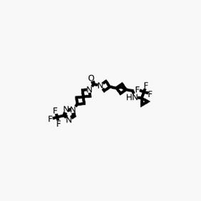 O=C(N1CC(C23CC(CNC4(C(F)(F)F)CC4)(C2)C3)C1)N1CC2(CC(n3cnc(C(F)(F)F)n3)C2)C1